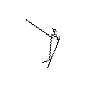 CCCCCCCCCCCCCCCCCCCCc1csc(-c2sc(-c3cc(C)cs3)c3nc(CCCCCCCCCCCCCCCCCCCC)c(CCCCCCCCCCCCCCCCCCCC)nc23)c1